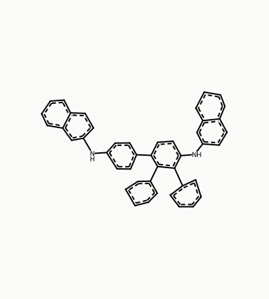 c1ccc(-c2c(Nc3ccc4ccccc4c3)ccc(-c3ccc(Nc4ccc5ccccc5c4)cc3)c2-c2ccccc2)cc1